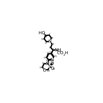 O=C(O)NC(CCN1CCC(O)CC1)c1ccc(N2CCOCS2(=O)=O)nc1